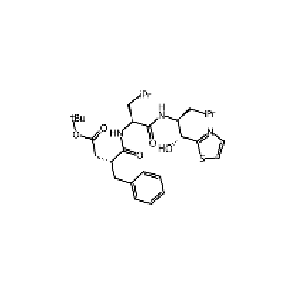 CC(C)C[C@H](NC(=O)[C@@H](CC(=O)OC(C)(C)C)Cc1ccccc1)C(=O)N[C@@H](CC(C)C)[C@@H](O)c1nccs1